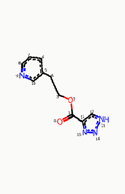 O=C(OCCc1cccnc1)c1c[nH]nn1